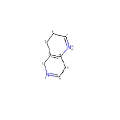 C1=NCC2=C(C1)[N+]=CCC2